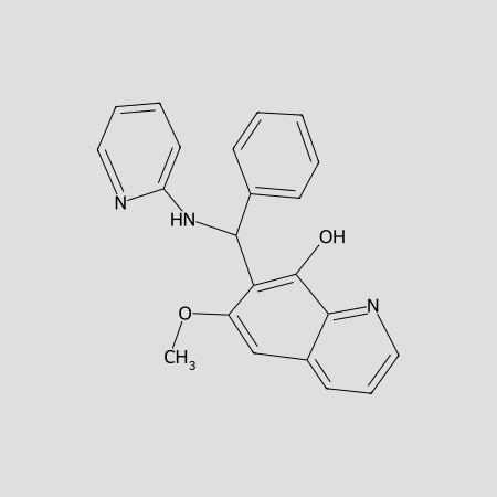 COc1cc2cccnc2c(O)c1C(Nc1ccccn1)c1ccccc1